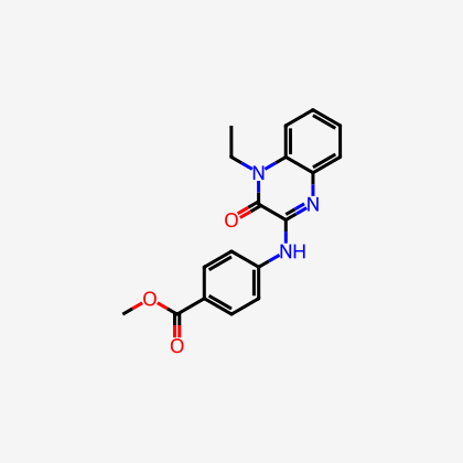 CCn1c(=O)c(Nc2ccc(C(=O)OC)cc2)nc2ccccc21